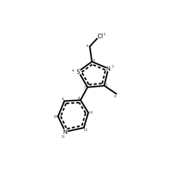 Cc1nc(CCl)sc1-c1ccncc1